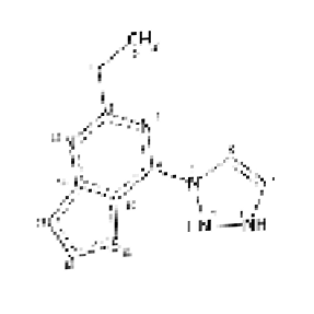 CCc1nc(N2C=CNN2)c2sccc2n1